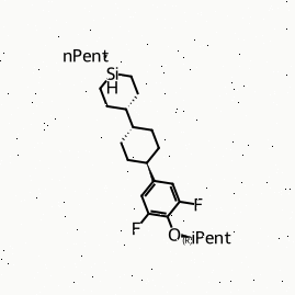 CCCCC[Si@H]1CC[C@H]([C@H]2CC[C@H](c3cc(F)c(O[C@H](C)CCC)c(F)c3)CC2)CC1